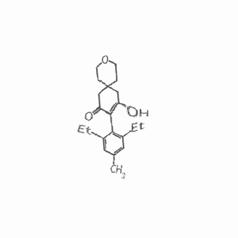 CCc1cc(C)cc(CC)c1C1=C(O)CC2(CCOCC2)CC1=O